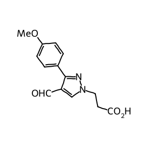 COc1ccc(-c2nn(CCC(=O)O)cc2C=O)cc1